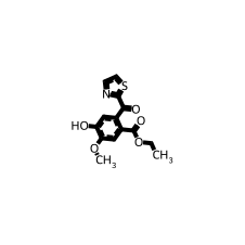 CCOC(=O)c1cc(OC)c(O)cc1C(=O)c1nccs1